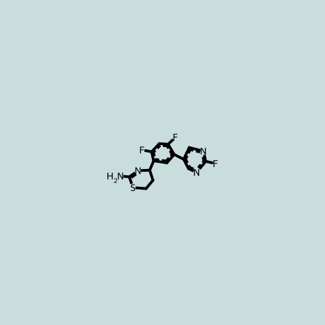 NC1=NC(c2cc(-c3cnc(F)nc3)c(F)cc2F)CCS1